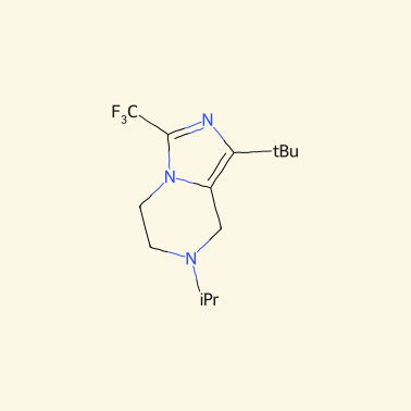 CC(C)N1CCn2c(C(F)(F)F)nc(C(C)(C)C)c2C1